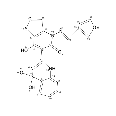 O=c1c(C2=NS(O)(O)c3ccccc3N2)c(O)c2sccc2n1N=Cc1ccoc1